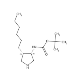 CCCCCC[C@H]1CNC[C@H]1NC(=O)OC(C)(C)C